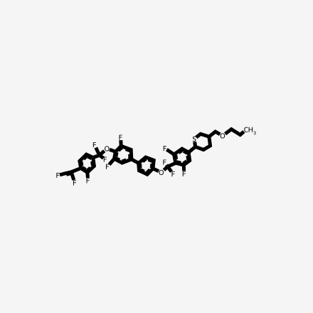 CCCOCC1CCC(c2cc(F)c(C(F)(F)Oc3ccc(-c4cc(F)c(OC(F)(F)c5ccc(/C(F)=C/F)c(F)c5)c(F)c4)cc3)c(F)c2)SC1